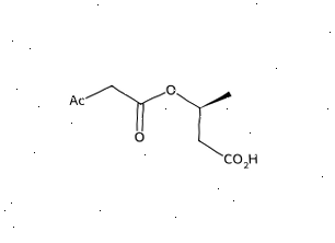 CC(=O)CC(=O)O[C@@H](C)CC(=O)O